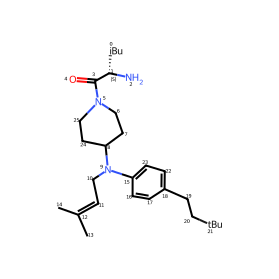 CCC(C)[C@H](N)C(=O)N1CCC(N(CC=C(C)C)c2ccc(CCC(C)(C)C)cc2)CC1